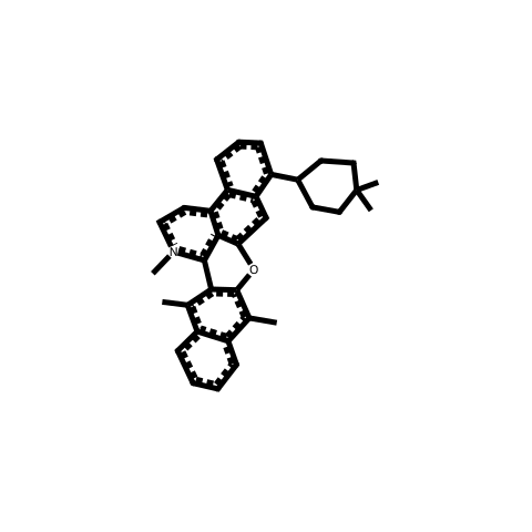 Cc1c2c(c(C)c3ccccc13)-c1c3c(cc4c(C5CCC(C)(C)CC5)cccc4c3cc[n+]1C)O2